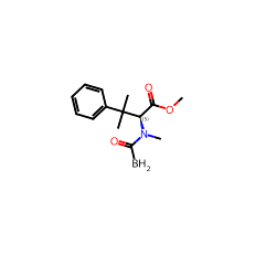 BC(=O)N(C)[C@H](C(=O)OC)C(C)(C)c1ccccc1